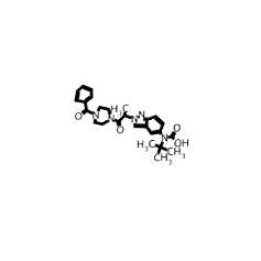 CC(C(=O)N1CCN(C(=O)c2ccccc2)CC1)n1cc2cc(N(C(=O)O)C(C)(C)C)ccc2n1